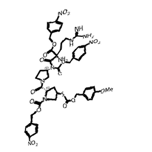 COc1ccc(COC(=O)SC2C[C@@H](C(=O)N3CC[C@H](N(C(=O)OCc4ccc([N+](=O)[O-])cc4)C(=O)[C@@](N)(CCCNC(=N)N)C(=O)OCc4ccc([N+](=O)[O-])cc4)C3)N(C(=O)OCc3ccc([N+](=O)[O-])cc3)C2)cc1